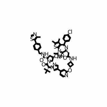 Cc1ncsc1-c1ccc(CNC(=O)[C@@H]2C[C@@H](O)CN2C(=O)[C@H](n2cc(-c3ccnc(O[C@H]4C[C@H](NC(=O)C[C@@H]5N=C(c6ccc(Cl)cc6)c6c(sc(C)c6C)-n6c(C)nnc65)C4)c3)cn2)C(C)(C)C)cc1